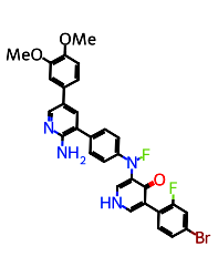 COc1ccc(-c2cnc(N)c(-c3ccc(N(F)c4c[nH]cc(-c5ccc(Br)cc5F)c4=O)cc3)c2)cc1OC